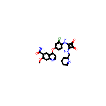 COc1cc2nccc(Oc3ccc(Nc4c(NCC5=CCCC=N5)c(=O)c4=O)c(Cl)c3)c2cc1C(N)=O